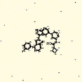 OC(Nc1cncc(-c2cnc3[nH]nc(-c4cc5c(-c6cccc(F)c6)nccc5[nH]4)c3c2)c1)C1CCC1